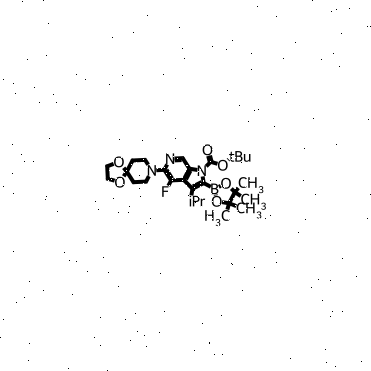 CC(C)c1c(B2OC(C)(C)C(C)(C)O2)n(C(=O)OC(C)(C)C)c2cnc(N3CCC4(CC3)OCCO4)c(F)c12